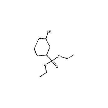 CCOP(=O)(OCC)C1CCCC(O)C1